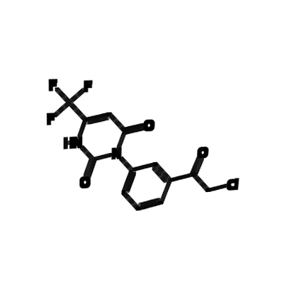 O=C(CCl)c1cccc(-n2c(=O)cc(C(F)(F)F)[nH]c2=O)c1